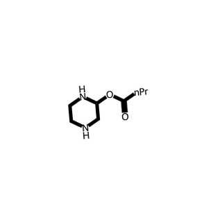 CCCC(=O)OC1CNCCN1